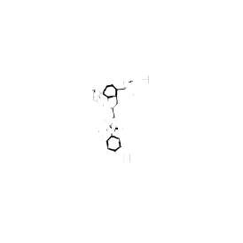 COC(=O)c1ccc([N+](=O)[O-])c2c1CC(COS(=O)(=O)c1ccc(C)cc1)O2